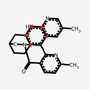 Cc1ccc(NC2CC3CCC2N(C(=O)c2ccc(C)nc2-c2ccccn2)C3)nc1